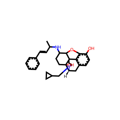 CC(/C=C/c1ccccc1)NC1CC[C@@]2(O)[C@H]3Cc4ccc(O)c5c4[C@@]2(CCN3CC2CC2)C1O5